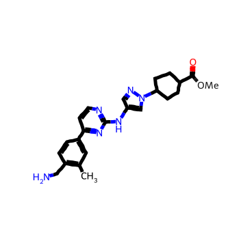 COC(=O)C1CCC(n2cc(Nc3nccc(-c4ccc(CN)c(C)c4)n3)cn2)CC1